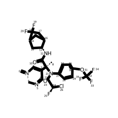 C=N/C=C(\C=N/C)[C@@](C)(C(=O)N[C@@H]1CC2CC1CC2(F)F)N(C(=O)[C@H](F)Cl)c1ccc(OC(F)(F)F)cc1